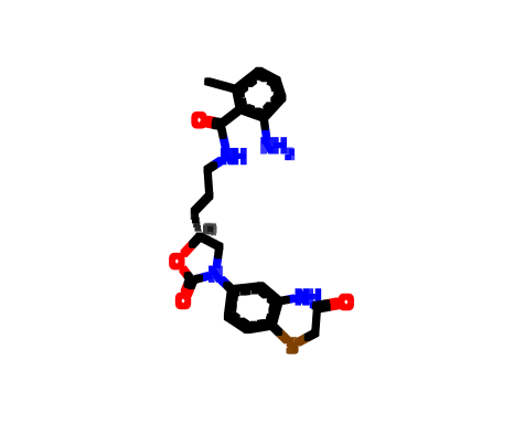 Cc1cccc(N)c1C(=O)NCCC[C@@H]1CN(c2ccc3c(c2)NC(=O)CS3)C(=O)O1